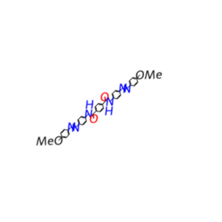 COc1ccc(/N=N/c2ccc(NC(=O)c3ccc(C(=O)Nc4ccc(/N=N/c5ccc(OC)cc5)cc4)cc3)cc2)cc1